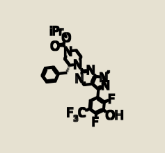 CC(C)OC(=O)N1CCN(c2ncc3c(-c4cc(C(F)(F)F)c(F)c(O)c4F)nn(C)c3n2)[C@H](Cc2ccccc2)C1